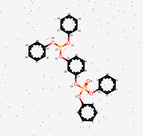 O=P(Oc1ccccc1)(Oc1ccccc1)Oc1cccc(OP(Oc2ccccc2)Oc2ccccc2)c1